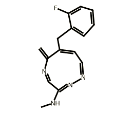 C=C1\N=C/C(NC)=N\N=C/C=C\1Cc1ccccc1F